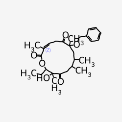 CCC1OC(=O)/C(C)=C\CC(=O)C(C)(OCc2ccccc2)CC(C)C(C)CC(=O)C1(C)O